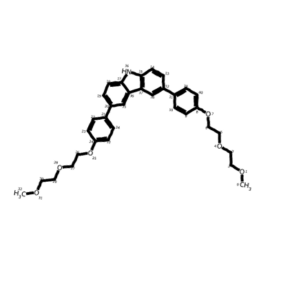 COCCOCCOc1ccc(-c2ccc3[nH]c4ccc(-c5ccc(OCCOCCOC)cc5)cc4c3c2)cc1